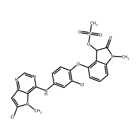 CN1C(=O)C(OS(C)(=O)=O)c2c(Oc3ccc(Nc4ncnc5cc(Cl)n(C)c45)cc3Cl)cccc21